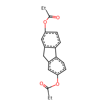 CCC(=O)Oc1ccc2c(c1)Cc1cc(OC(=O)CC)ccc1-2